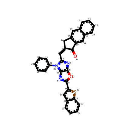 O=C1/C(=C\c2nc3oc(-c4cc5ccccc5s4)nc3n2-c2ccccc2)Cc2cc3ccccc3cc21